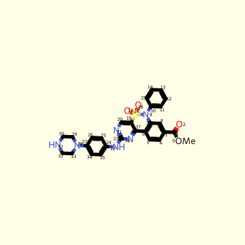 COC(=O)c1ccc2c(c1)N(c1ccccc1)S(=O)(=O)c1cnc(Nc3ccc(N4CCNCC4)cc3)nc1-2